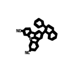 N#Cc1ccc2c3cc(-c4c(-c5ccccc5)ccc5ccccc45)cc4c5ccc(C#N)cc5n(c2c1)c34